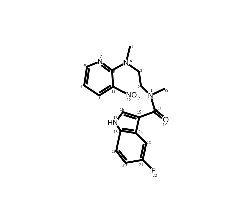 CN(CCN(C)c1ncccc1[N+](=O)[O-])C(=O)c1c[nH]c2ccc(F)cc12